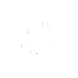 CC(C)c1cc2c(cc1N)OCCN2C